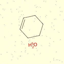 C1=CCCCC1.[5OH2]